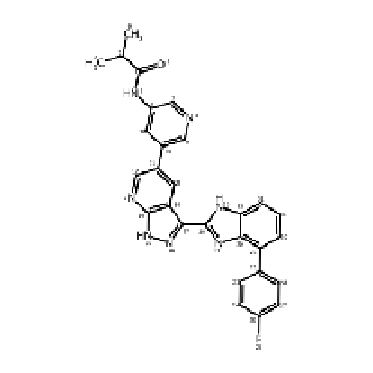 CC(C)C(=O)Nc1cncc(-c2cnc3[nH]nc(-c4nc5c(-c6ccc(F)cc6)cccc5[nH]4)c3c2)c1